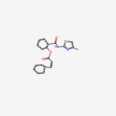 Cc1csc(NC(=O)c2ccccc2OC(=O)/C=C\c2ccccc2)n1